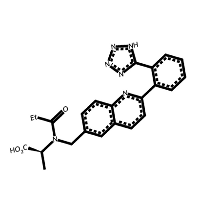 CCC(=O)N(Cc1ccc2nc(-c3ccccc3-c3nnn[nH]3)ccc2c1)[C@@H](C)C(=O)O